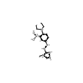 CCN(CC)c1ccc(N=Nc2nncn2C)cc1[N+](=O)[O-]